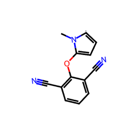 Cn1[c]ccc1Oc1c(C#N)cccc1C#N